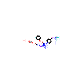 O=C(NCC(F)(F)F)c1ccc(-n2nnc(C(=O)NCCOCCO)c2COc2cccc(F)c2)cc1